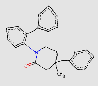 CC1(c2ccccc2)CCN(c2ccccc2-c2ccccc2)C(=O)C1